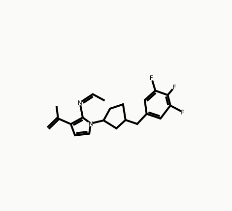 C=C(C)c1ccn(C2CCC(Cc3cc(F)c(F)c(F)c3)C2)c1/N=C\C